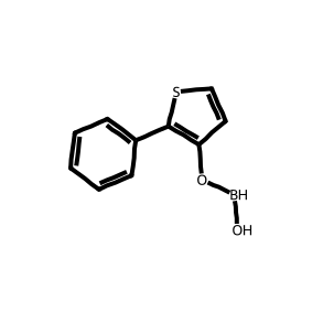 OBOc1ccsc1-c1ccccc1